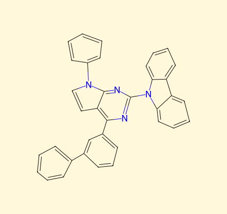 c1ccc(-c2cccc(-c3nc(-n4c5ccccc5c5ccccc54)nc4c3ccn4-c3ccccc3)c2)cc1